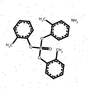 Cc1ccccc1OP(=O)(Oc1ccccc1C)Oc1ccccc1C.N